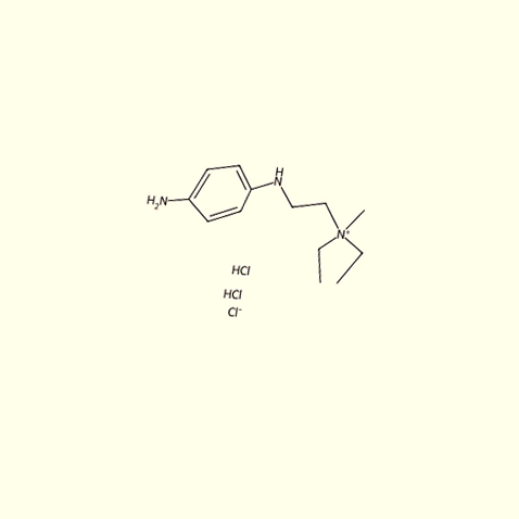 CC[N+](C)(CC)CCNc1ccc(N)cc1.Cl.Cl.[Cl-]